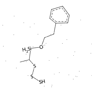 CC([SiH2]OCCc1ccccc1)SSS